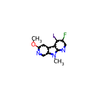 COc1cc2c3c(I)c(F)cnc3n(C)c2cn1